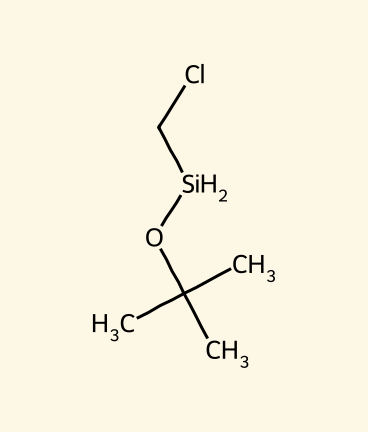 CC(C)(C)O[SiH2]CCl